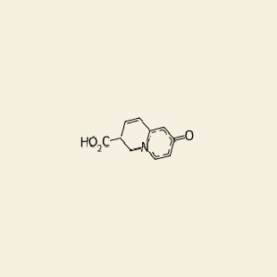 O=C(O)C1C=Cc2cc(=O)ccn2C1